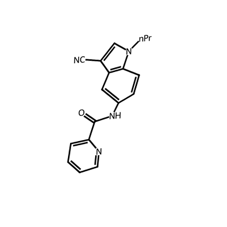 CCCn1cc(C#N)c2cc(NC(=O)c3ccccn3)ccc21